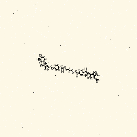 Cn1ncc(-c2nc(N[C@H]3CC[C@H](NCCCCCCCNCc4ccc(OCc5scc6c5CN([C@H]5CCC(=O)NC5=O)C6=O)cc4)CC3)ncc2Cl)c1CC1CC1